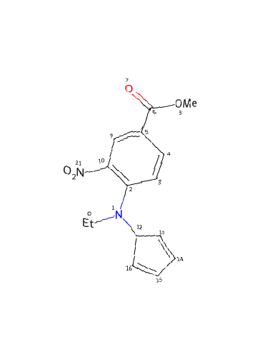 CCN(c1ccc(C(=O)OC)cc1[N+](=O)[O-])C1C=CC=C1